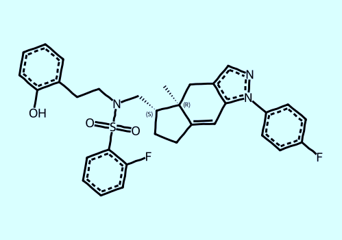 C[C@]12Cc3cnn(-c4ccc(F)cc4)c3C=C1CC[C@@H]2CN(CCc1ccccc1O)S(=O)(=O)c1ccccc1F